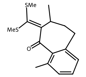 CSC(SC)=C1C(=O)c2c(C)cccc2CCC1C